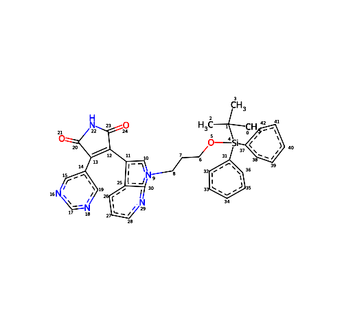 CC(C)(C)[Si](OCCCn1cc(C2=C(c3cncnc3)C(=O)NC2=O)c2cccnc21)(c1ccccc1)c1ccccc1